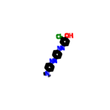 CN(C)c1ccc(/N=N/c2ccc(/N=N/c3ccc(O)c(Cl)c3)cc2)cc1